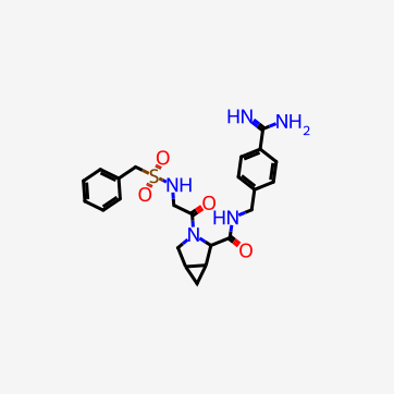 N=C(N)c1ccc(CNC(=O)C2C3CC3CN2C(=O)CNS(=O)(=O)Cc2ccccc2)cc1